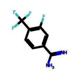 N=C(N)c1ccc(C(F)(F)F)c(F)c1